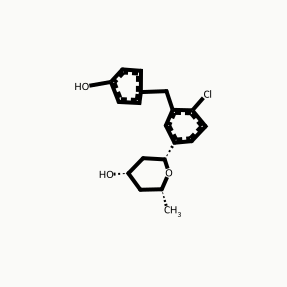 C[C@@H]1C[C@H](O)C[C@H](c2ccc(Cl)c(Cc3ccc(O)cc3)c2)O1